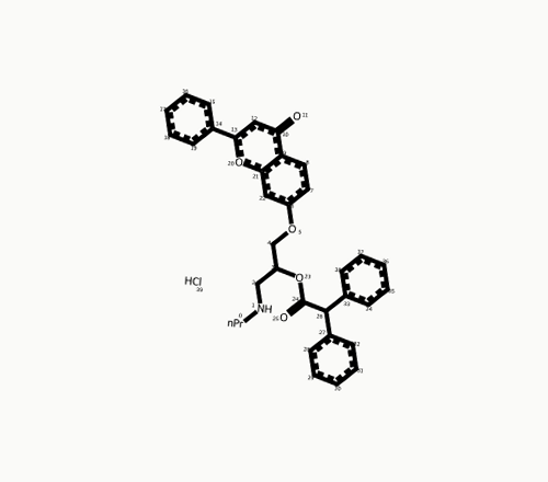 CCCNCC(COc1ccc2c(=O)cc(-c3ccccc3)oc2c1)OC(=O)C(c1ccccc1)c1ccccc1.Cl